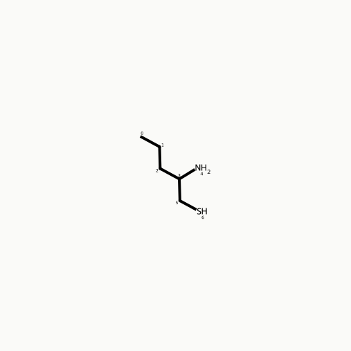 CCCC(N)CS